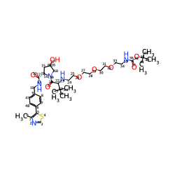 Cc1ncsc1-c1ccc(CNC(=O)[C@@H]2C[C@@H](O)CN2C(=O)C(NCCOCCOCCOCCNC(=O)OC(C)(C)C)C(C)(C)C)cc1